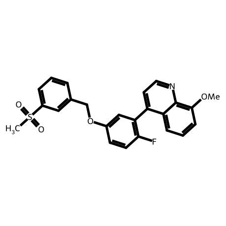 COc1cccc2c(-c3cc(OCc4cccc(S(C)(=O)=O)c4)ccc3F)ccnc12